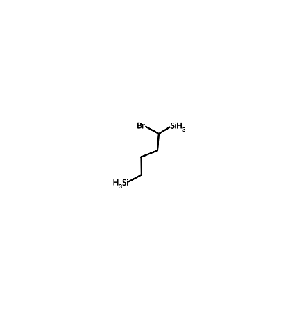 [SiH3]CCCC([SiH3])Br